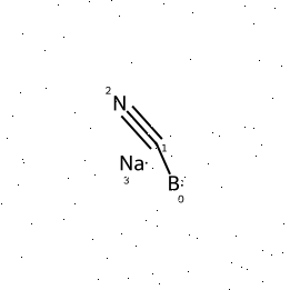 [B]C#N.[Na]